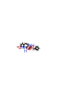 COc1ccc2c(n1)NC(=O)[C@@H](NC(=O)OCc1ccccc1)C=C2